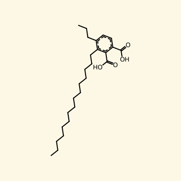 CCCCCCCCCCCCCCCc1c(CCC)ccc(C(=O)O)c1C(=O)O